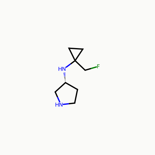 FCC1(N[C@@H]2CCNC2)CC1